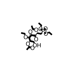 CCO[C@H]1[C@H](OC(C)=O)[C@@H](CCP(=O)(OCC)OCC)OC(O)[C@H]1OC(C)=O